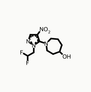 O=[N+]([O-])c1cnn(CC(F)F)c1N1CCCC(O)CC1